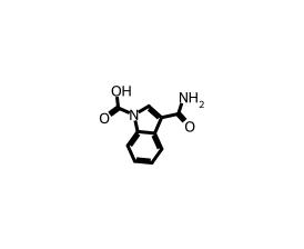 NC(=O)c1cn(C(=O)O)c2ccccc12